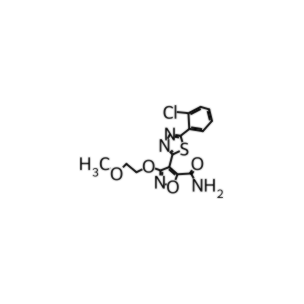 COCCOc1noc(C(N)=O)c1-c1nnc(-c2ccccc2Cl)s1